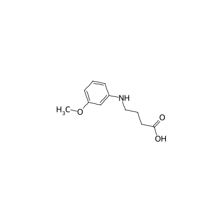 COc1cccc(NCCCC(=O)O)c1